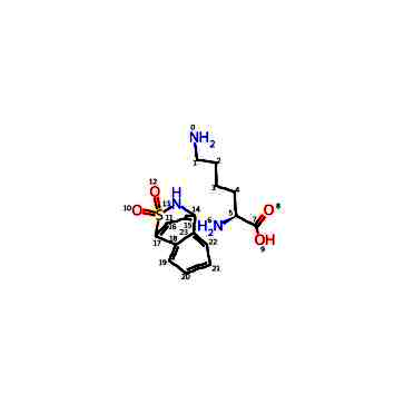 NCCCC[C@H](N)C(=O)O.O=S1(=O)Nc2ccc1c1ccccc21